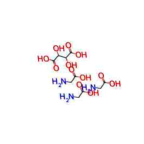 NCC(=O)O.NCC(=O)O.NCC(=O)O.O=C(O)C(O)C(O)C(=O)O